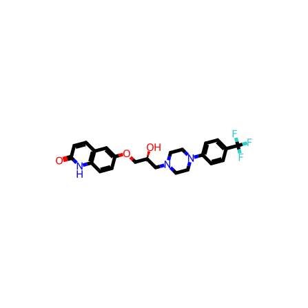 O=c1ccc2cc(OC[C@@H](O)CN3CCN(c4ccc(C(F)(F)F)cc4)CC3)ccc2[nH]1